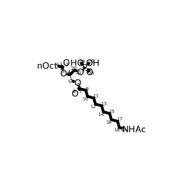 CCCCCCCCC(=O)O[C@@H](COC(=O)CCCCCCCCCCNC(C)=O)COP(=O)(O)O